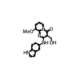 COc1cccn2c(=O)c(CO)c(Nc3ccc4[nH]ccc4c3)nc12